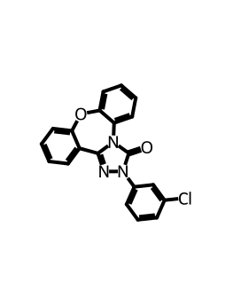 O=c1n(-c2cccc(Cl)c2)nc2n1-c1ccccc1Oc1ccccc1-2